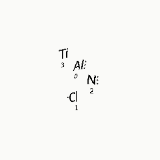 [Al].[Cl].[N].[Ti]